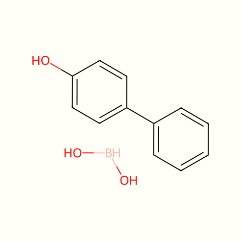 OBO.Oc1ccc(-c2ccccc2)cc1